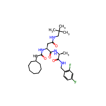 C[C@H](NC(=O)[C@H](CC(=O)NCC(C)(C)C)NC(=O)BC1CCCCCCC1)C(=O)NCc1ccc(F)cc1F